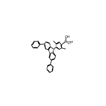 Cc1cc(-n2c3ccc(-c4ccccc4)cc3c3cc(-c4ccccc4)ccc32)c(C)cc1B(O)O